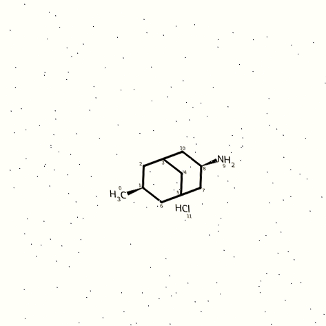 C[C@H]1CC2CC(C1)C[C@H](N)C2.Cl